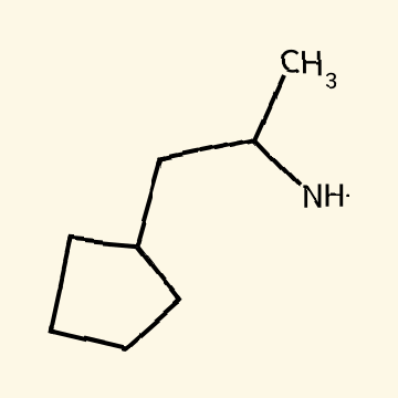 CC([NH])CC1CCCC1